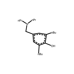 CCCCc1cc(CN(CCC)CCC)cc(CCCC)c1O